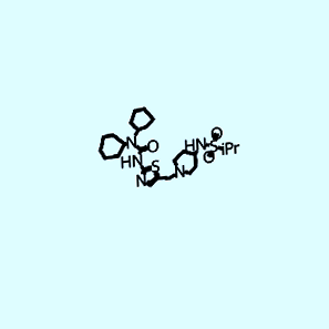 CC(C)S(=O)(=O)NC1CCN(Cc2cnc(NC(=O)N(C3CCCCC3)C3CCCCC3)s2)CC1